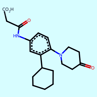 O=C(O)CC(=O)Nc1ccc(N2CCC(=O)CC2)c(C2CCCCC2)c1